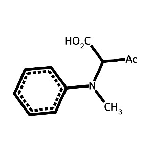 CC(=O)C(C(=O)O)N(C)c1ccccc1